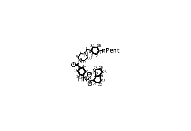 CCCCCc1ccc(CN2CCN(C(=O)c3ccc(NS(=O)(=O)c4cccc5cccnc45)cc3)CC2)cc1